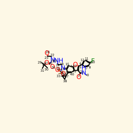 CNC(=O)c1c(-c2ccc(F)cc2)oc2cc(N(CCNN(CC=O)C(=O)OC(C)(C)C)S(C)(=O)=O)c(C3CC3)cc12